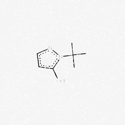 CC(C)(C)n1nccc1O